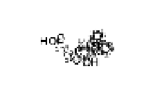 CC(CCCCC(=O)O)O[C@@H]1O[C@@H](C)[C@H](O[Si](c2ccccc2)(c2ccccc2)C(C)(C)C)C[C@H]1O